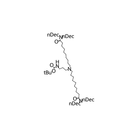 CCCCCCCCCCN(CCCCCCCCCC)C(=O)CCCCCCCCCN(CCCCCCCCCC(=O)N(CCCCCCCCCC)CCCCCCCCCC)CCCNC(=O)OC(C)(C)C